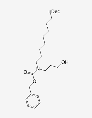 CCCCCCCCCCCCCCCCCCN(CCCO)C(=O)OCc1ccccc1